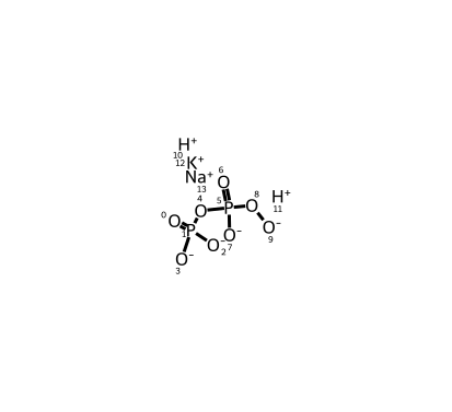 O=P([O-])([O-])OP(=O)([O-])O[O-].[H+].[H+].[K+].[Na+]